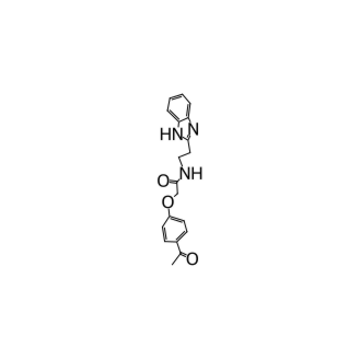 CC(=O)c1ccc(OCC(=O)NCCc2nc3ccccc3[nH]2)cc1